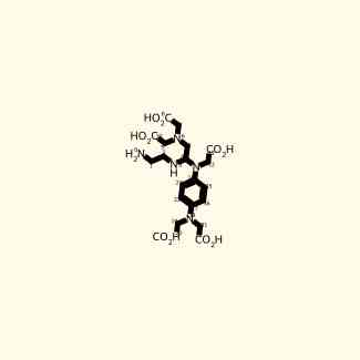 NCCNC(CN(CC(=O)O)CC(=O)O)N(CC(=O)O)c1ccc(N(CC(=O)O)CC(=O)O)cc1